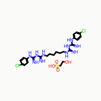 N=C(NCCCCCCNC(=N)NC(=N)Nc1ccc(Cl)cc1)NC(=N)Nc1ccc(Cl)cc1.O=S(=O)(O)CCO